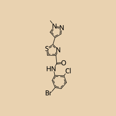 Cn1cc(-c2nc(C(=O)Nc3cc(Br)ccc3Cl)cs2)cn1